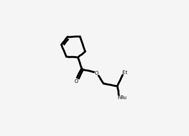 CCCCC(CC)COC(=O)C1CC=CCC1